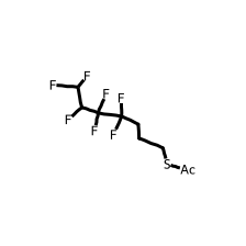 CC(=O)SCCCC(F)(F)C(F)(F)C(F)C(F)F